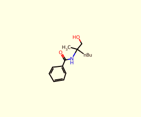 CCCCC(C)(CO)NC(=O)c1ccccc1